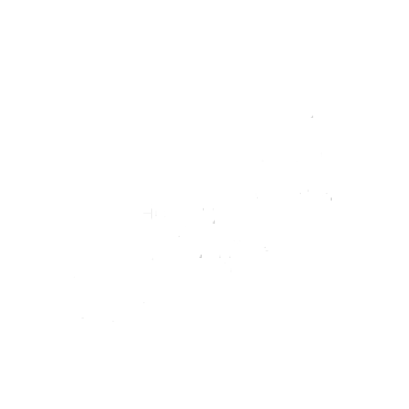 O=C(c1ccc(F)cc1)c1ccc(OC(CCc2ccccc2)C(=O)O)cc1